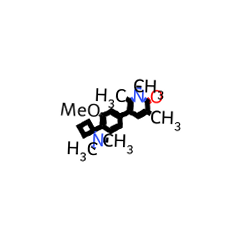 COc1cc(-c2cc(C)c(=O)n(C)c2C)ccc1C1(N(C)C)CCC1